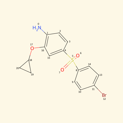 Nc1ccc(S(=O)(=O)c2ccc(Br)cc2)cc1OC1CC1